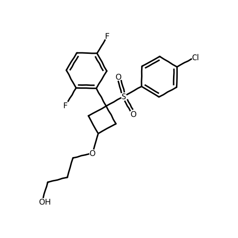 O=S(=O)(c1ccc(Cl)cc1)C1(c2cc(F)ccc2F)CC(OCCCO)C1